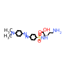 CN(C)c1ccc(N=Nc2ccc(S(=O)(=O)N[C@@H](CCCN)C(=O)O)cc2)cc1